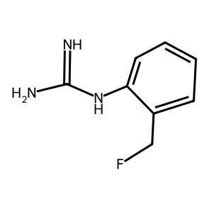 N=C(N)Nc1ccccc1CF